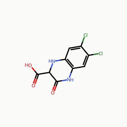 O=C(O)C1Nc2cc(Cl)c(Cl)cc2NC1=O